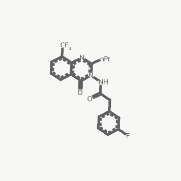 CCCc1nc2c(C(F)(F)F)cccc2c(=O)n1NC(=O)Cc1cccc(F)c1